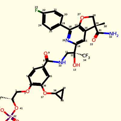 C[C@H](COc1ccc(C(=O)NC[C@](O)(c2cc3c(c(-c4ccc(F)cc4)n2)OC[C@]3(C)C(N)=O)C(F)(F)F)cc1OC1CC1)OP(=O)(O)O